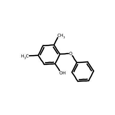 Cc1cc(C)c(Oc2ccccc2)c(O)c1